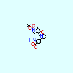 CNc1cc(C2CCCCN2Cc2c(OC)cc(C)c3c2ccn3C(=O)OC(C)(C)C)ccc1C(=O)OC